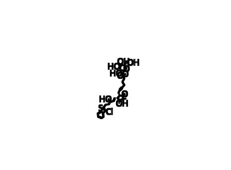 CC1(C)C(=O)[C@H](CC#CCCCC(=O)OC2O[C@H](CO)[C@@H](O)[C@H](O)[C@H]2O)[C@@H](/C=C/C(O)CCc2sc3ccccc3c2Cl)[C@@H]1O